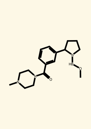 COBN1CCCC1c1cccc(C(=O)N2CCN(C)CC2)c1